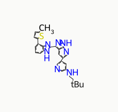 Cc1ccc(-c2cccc3[nH]c(-c4n[nH]c5ncc(-c6cncc(NCCC(C)(C)C)c6)cc45)nc23)s1